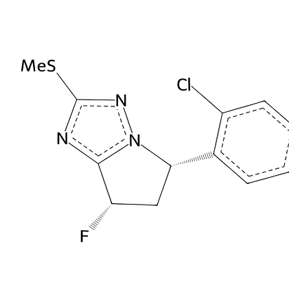 CSc1nc2n(n1)[C@H](c1ccccc1Cl)C[C@@H]2F